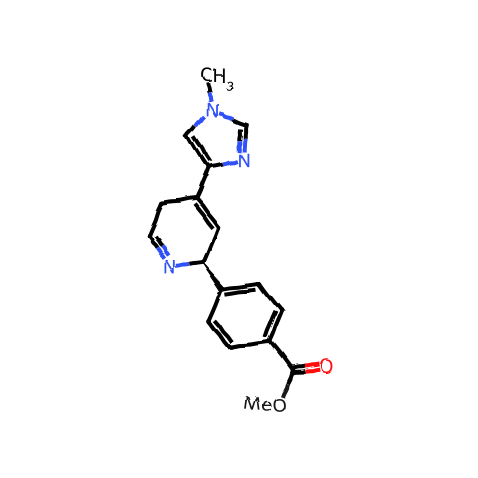 COC(=O)c1ccc([C@@H]2C=C(c3cn(C)cn3)CC=N2)cc1